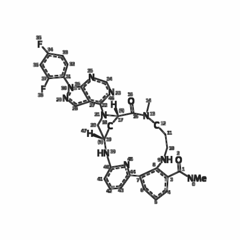 CNC(=O)c1cccc2c1NCCCN(C)C(=O)[C@@H]1C[C@@H](CN1c1ncnc3c1cnn3-c1ccc(F)cc1F)Nc1cccc-2n1